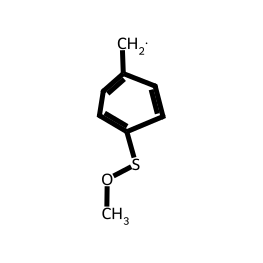 [CH2]c1ccc(SOC)cc1